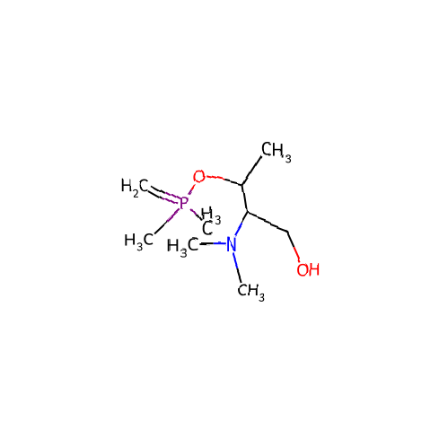 C=P(C)(C)OC(C)C(CO)N(C)C